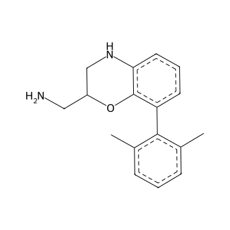 Cc1cccc(C)c1-c1cccc2c1OC(CN)CN2